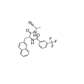 CC(C#N)NC(=O)C(Cc1ccc2ccccc2c1)NC(=O)c1cccc(C(F)(F)F)c1